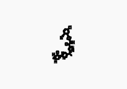 C[C@@H](c1cnc(N2C[C@H]3C[C@H]3C2=O)nc1)n1cc(C(=O)NC2CC(c3cc(Cl)ccc3C#N)C2)nn1